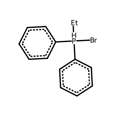 CC[PH](Br)(c1ccccc1)c1ccccc1